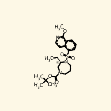 CC[C@@H]1CN(C(=O)OC(C)(C)C)CCCN1S(=O)(=O)c1cccc2c(OC)nccc12